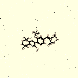 COc1cc2c(cc1-c1ccc(CN3C(=O)CSC3=O)cc1OC(F)(F)F)C(C)(C)CCC2(C)C